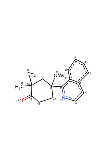 COC1(c2nccc3ccccc23)CCC(=O)C(C)(C)C1